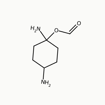 NC1CCC(N)(OC=O)CC1